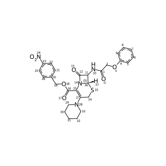 O=C(COc1ccccc1)NC1C(=O)N2C(C(=O)OCc3ccc([N+](=O)[O-])cc3)=C(N3CCCCC3)CS[C@@H]12